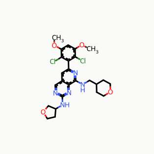 COc1cc(OC)c(Cl)c(-c2cc3cnc(NC4CCOC4)nc3c(NCC3CCOCC3)n2)c1Cl